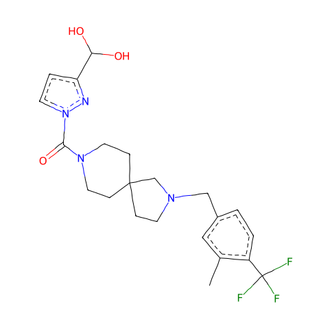 Cc1cc(CN2CCC3(CCN(C(=O)n4ccc(C(O)O)n4)CC3)C2)ccc1C(F)(F)F